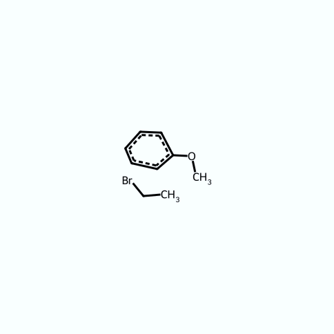 CCBr.COc1ccccc1